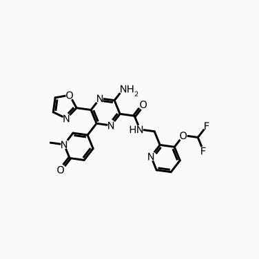 Cn1cc(-c2nc(C(=O)NCc3ncccc3OC(F)F)c(N)nc2-c2ncco2)ccc1=O